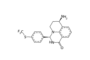 N[C@@H]1CCN2c3c(cccc31)C(=O)N[C@H]2c1ccc(SC(F)(F)F)cc1